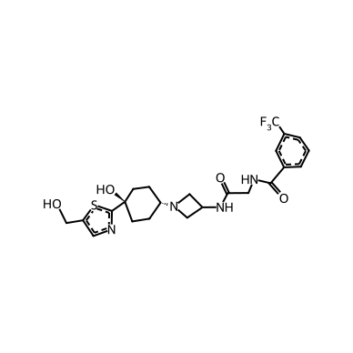 O=C(CNC(=O)c1cccc(C(F)(F)F)c1)NC1CN([C@H]2CC[C@@](O)(c3ncc(CO)s3)CC2)C1